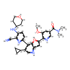 COc1cc(C(=O)N(C)C)cnc1-c1cc2ncc(C3CC3)c(-c3ccc(NC4CCOCC4)c(C#N)n3)c2o1